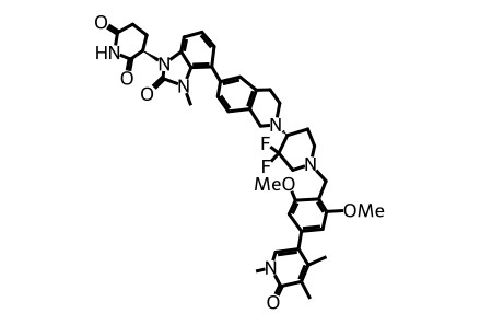 COc1cc(-c2cn(C)c(=O)c(C)c2C)cc(OC)c1CN1CC[C@@H](N2CCc3cc(-c4cccc5c4n(C)c(=O)n5[C@@H]4CCC(=O)NC4=O)ccc3C2)C(F)(F)C1